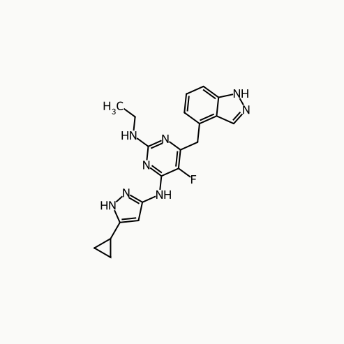 CCNc1nc(Cc2cccc3[nH]ncc23)c(F)c(Nc2cc(C3CC3)[nH]n2)n1